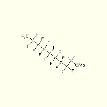 CO[Si](C)(C)C(F)(F)C(F)(F)C(F)(F)C(F)(F)C(F)(F)C(F)(F)C(F)(F)C(F)(F)F